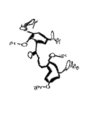 COc1cc(OC(C)C)cc(C=CC(=O)c2cc(OC(C)C)cc(OC(C)C)c2OC(C)C)c1OC(C)C